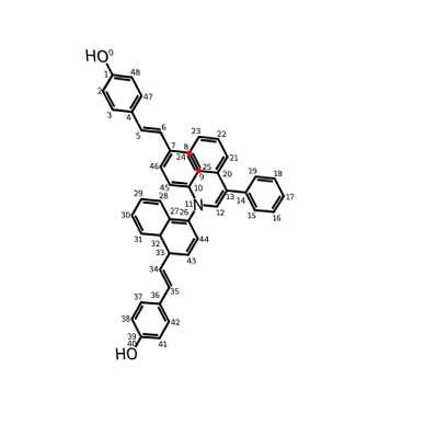 Oc1ccc(C=Cc2ccc(N(C=C(c3ccccc3)c3ccccc3)C3=C4C=CC=CC4C(C=Cc4ccc(O)cc4)C=C3)cc2)cc1